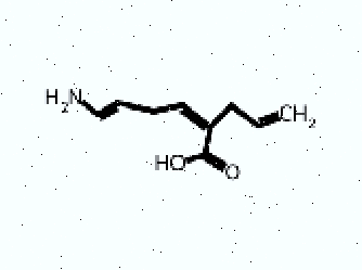 C=CCC(=CCC=CN)C(=O)O